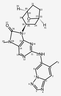 Cc1cc2ncnn2cc1Nc1ncc2c(n1)n([C@H]1C[C@H]3CC[C@@H](C1)O3)c(=O)n2C